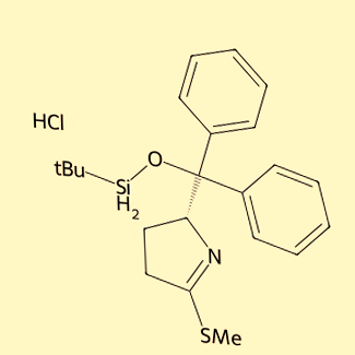 CSC1=N[C@@H](C(O[SiH2]C(C)(C)C)(c2ccccc2)c2ccccc2)CC1.Cl